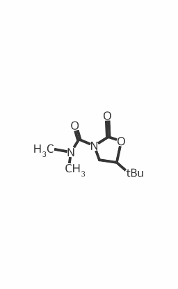 CN(C)C(=O)N1CC(C(C)(C)C)OC1=O